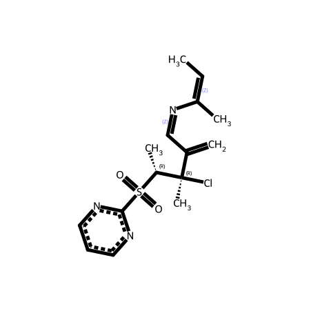 C=C(/C=N\C(C)=C/C)[C@@](C)(Cl)[C@@H](C)S(=O)(=O)c1ncccn1